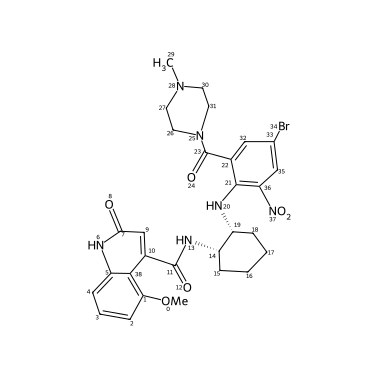 COc1cccc2[nH]c(=O)cc(C(=O)N[C@H]3CCCC[C@H]3Nc3c(C(=O)N4CCN(C)CC4)cc(Br)cc3[N+](=O)[O-])c12